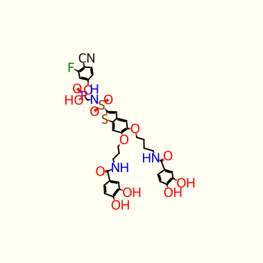 N#Cc1ccc(OP(=O)(O)CNS(=O)(=O)c2cc3cc(OCCCCNC(=O)c4ccc(O)c(O)c4)c(OCCCNC(=O)c4ccc(O)c(O)c4)cc3s2)cc1F